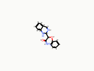 NC(=O)C(Oc1ccccc1)C1N=Cc2ccccc2N1